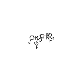 O=C(N(CC12CCC(c3noc(C4(F)CC4)n3)(CC1)CC2)c1cccc(C2CC2)c1)C12CC(F)C(C1)C2